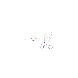 C=C(C1=CC=CC(C(=O)O)C1(Cl)c1nc2ccccc2n1CCOc1ccc(Br)cc1)c1ccccc1Cl